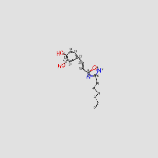 CCCCCCc1noc(/C=C/c2ccc(O)c(O)c2)n1